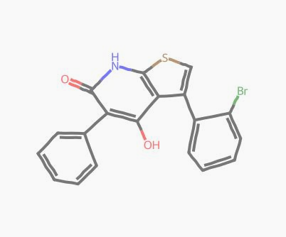 O=c1[nH]c2scc(-c3ccccc3Br)c2c(O)c1-c1ccccc1